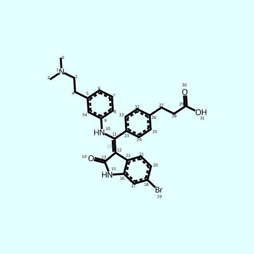 CN(C)CCc1cccc(N/C(=C2\C(=O)Nc3cc(Br)ccc32)c2ccc(CCC(=O)O)cc2)c1